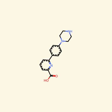 O=C(O)c1cccc(-c2ccc(N3CCNCC3)cc2)n1